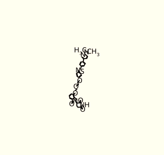 CN(C)c1ccc(-c2ccc(-c3nc4ccc(OCCOCCOc5cccc6c5CN(C5CCC(=O)NC5=O)C6=O)cc4s3)cc2)cn1